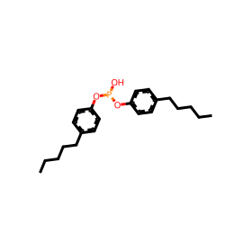 CCCCCc1ccc(OP(O)Oc2ccc(CCCCC)cc2)cc1